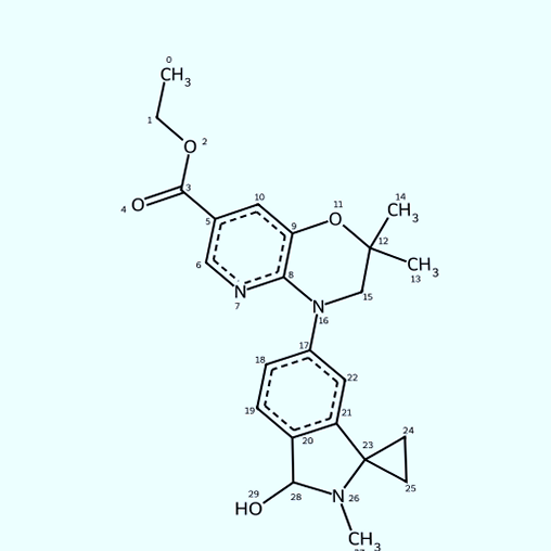 CCOC(=O)c1cnc2c(c1)OC(C)(C)CN2c1ccc2c(c1)C1(CC1)N(C)C2O